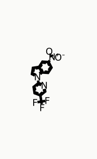 O=[N+]([O-])c1ccc2c(ccn2-c2ccc(C(F)(F)F)cn2)c1